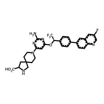 Nc1nc(O[C@H](c2ccc(-c3ccc4ncc(F)cc4c3)cc2)C(F)(F)F)cc(N2CCC3(CC2)CNC(C(=O)O)C3)n1